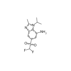 Cc1nc2cc(S(=O)(=O)C(F)F)cc(N)c2n1C(C)C